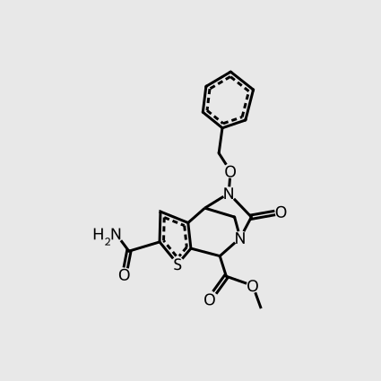 COC(=O)C1c2sc(C(N)=O)cc2C2CN1C(=O)N2OCc1ccccc1